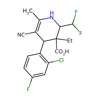 CCC1(C(=O)O)C(c2ccc(F)cc2Cl)C(C#N)=C(C)NC1C(F)F